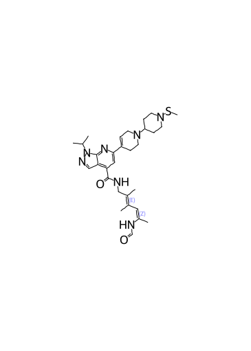 CSN1CCC(N2CC=C(c3cc(C(=O)NC/C(C)=C(C)/C=C(/C)NC=O)c4cnn(C(C)C)c4n3)CC2)CC1